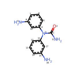 NC(=O)N(c1cccc(N)c1)c1cccc(N)c1